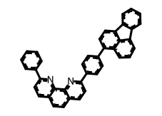 c1ccc(-c2ccc3ccc4ccc(-c5ccc(-c6ccc7c8c(cccc68)-c6ccccc6-7)cc5)nc4c3n2)cc1